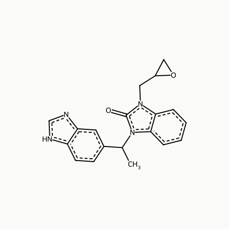 CC(c1ccc2[nH]cnc2c1)n1c(=O)n(CC2CO2)c2ccccc21